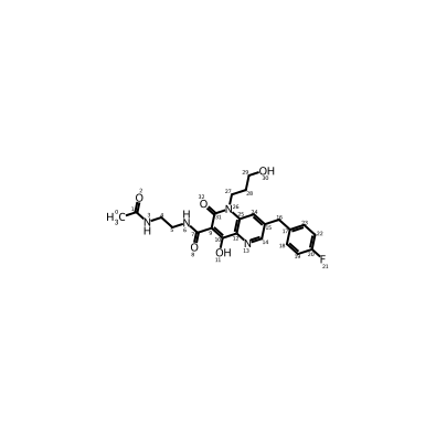 CC(=O)NCCNC(=O)c1c(O)c2ncc(Cc3ccc(F)cc3)cc2n(CCCO)c1=O